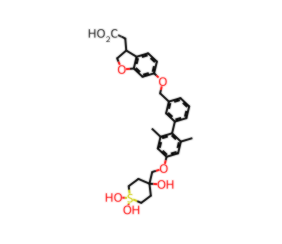 Cc1cc(OCC2(O)CCS(O)(O)CC2)cc(C)c1-c1cccc(COc2ccc3c(c2)OCC3CC(=O)O)c1